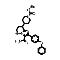 CC(C)(C)OC(=O)N1CCC(C2CCNn3c2nc(-c2ccc(Oc4ccccc4)cc2)c3C(N)=O)CC1